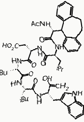 C=C(O)[C@H](Cc1c[nH]c2ccccc12)NC(=O)[C@@H](NC(=O)[C@@H](NC(=O)[C@H](CC(=O)O)NC(=O)[C@H](CC(C)C)NC(=O)[C@H](NC(C)=O)C1c2ccccc2CCc2ccccc21)[C@@H](C)CC)[C@@H](C)CC